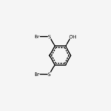 Oc1ccc(SBr)cc1SBr